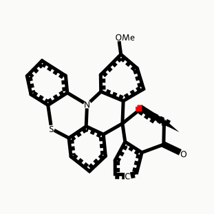 COc1ccc2c(c1)N1c3ccccc3Sc3cccc(c31)C21c2ccccc2C(=O)c2ccccc21